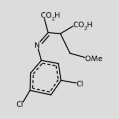 COCC(C(=O)O)C(=Nc1cc(Cl)cc(Cl)c1)C(=O)O